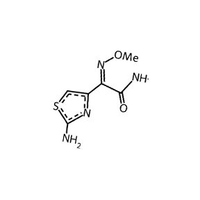 CON=C(C([NH])=O)c1csc(N)n1